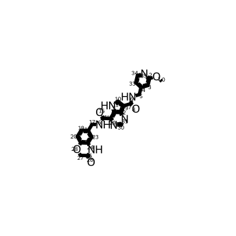 COc1cc(CNC(=O)c2c[nH]c3c(C(=O)NCc4ccc5c(c4)NC(=O)CO5)ncnc23)ccn1